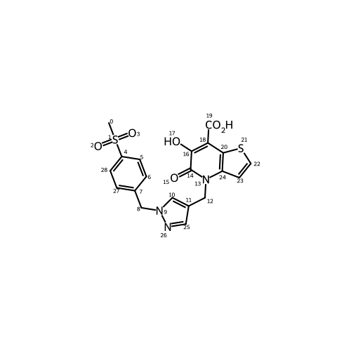 CS(=O)(=O)c1ccc(Cn2cc(Cn3c(=O)c(O)c(C(=O)O)c4sccc43)cn2)cc1